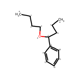 CCCCOC(CCC)c1ccccc1